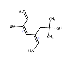 C=C/C(=C\C(=C/C)CC(C)(C)S)C(C)(C)C